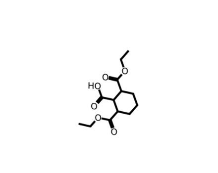 CCOC(=O)C1CCCC(C(=O)OCC)C1C(=O)O